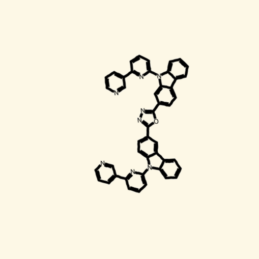 c1cncc(-c2cccc(-n3c4ccccc4c4cc(-c5nnc(-c6ccc7c8ccccc8n(-c8cccc(-c9cccnc9)n8)c7c6)o5)ccc43)n2)c1